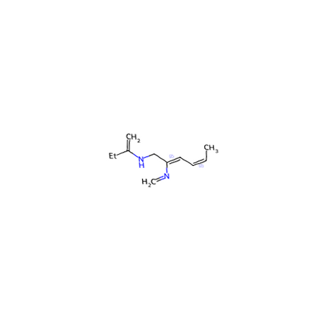 C=N/C(=C\C=C/C)CNC(=C)CC